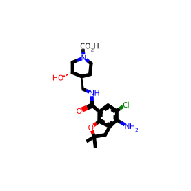 CC1(C)Cc2c(N)c(Cl)cc(C(=O)NC[C@@H]3CCN(C(=O)O)C[C@H]3O)c2O1